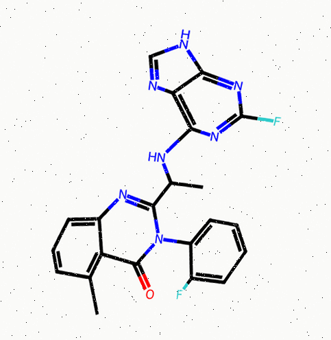 Cc1cccc2nc(C(C)Nc3nc(F)nc4[nH]cnc34)n(-c3ccccc3F)c(=O)c12